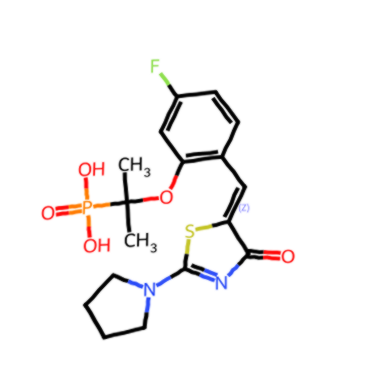 CC(C)(Oc1cc(F)ccc1/C=C1\SC(N2CCCC2)=NC1=O)P(=O)(O)O